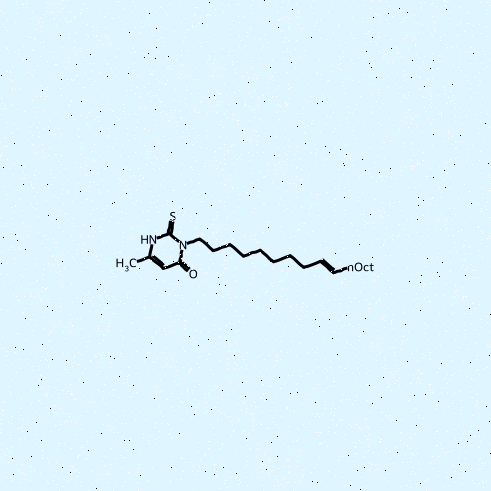 CCCCCCCCC=CCCCCCCCCn1c(=O)cc(C)[nH]c1=S